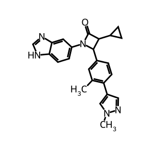 Cc1cc(C2C(C3CC3)C(=O)N2c2ccc3[nH]cnc3c2)ccc1-c1cnn(C)c1